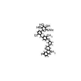 CCc1ccc([C@@H]2O[C@H](SC)[C@@H](O)[C@H](O)[C@H]2O)cc1Cc1ccc(O[C@@H]2CCN([C@H]3CO[C@H](c4cc(F)ccc4F)[C@@H](N)C3)C2)c(C)c1